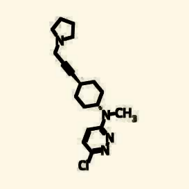 CN(c1ccc(Cl)nn1)[C@H]1CC[C@H](C#CCN2CCCC2)CC1